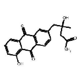 CC(O)(CC(N)=O)Cc1ccc2c(c1)C(=O)c1cccc(O)c1C2=O